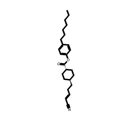 CCCCCCCc1ccc(OC(=O)[C@H]2CC[C@H](CCC=CC#N)CC2)cc1